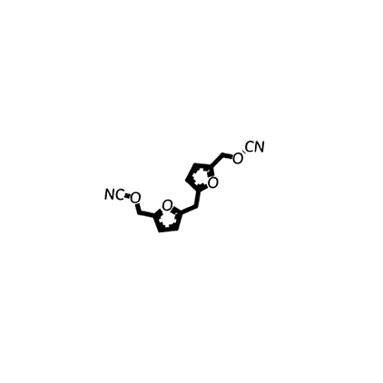 N#COCc1ccc(Cc2ccc(COC#N)o2)o1